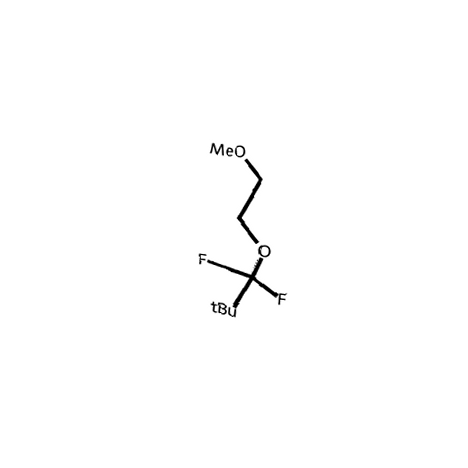 COCCOC(F)(F)C(C)(C)C